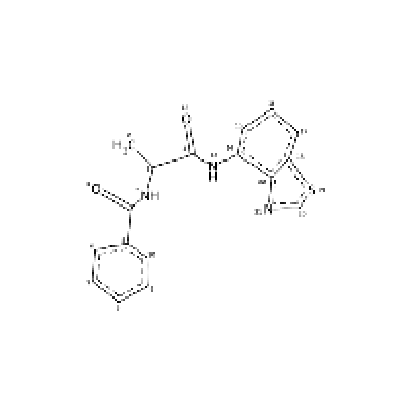 CC(NC(=O)c1ccccc1)C(=O)Nc1cccc2scnc12